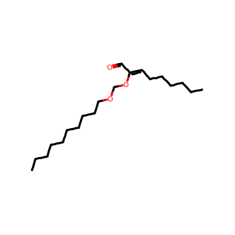 CCCCCCC=C(C=O)OCOCCCCCCCCCC